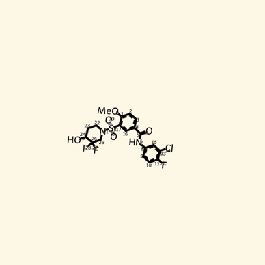 COc1ccc(C(=O)Nc2ccc(F)c(Cl)c2)cc1S(=O)(=O)N1CCC(O)C(F)(F)C1